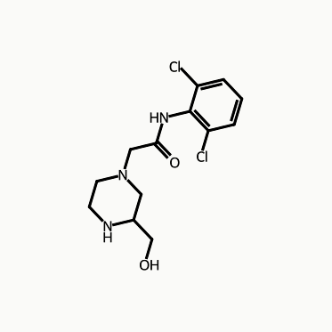 O=C(CN1CCNC(CO)C1)Nc1c(Cl)cccc1Cl